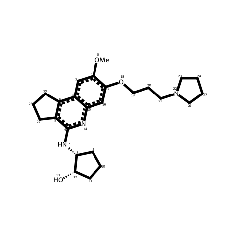 COc1cc2c3c(c(N[C@@H]4CCC[C@@H]4O)nc2cc1OCCCN1CCCC1)CCC3